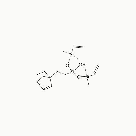 C=C[Si](C)(C)O[Si](O)(CCC12C=CC(CC1)C2)O[Si](C)(C)C=C